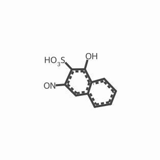 O=Nc1cc2ccccc2c(O)c1S(=O)(=O)O